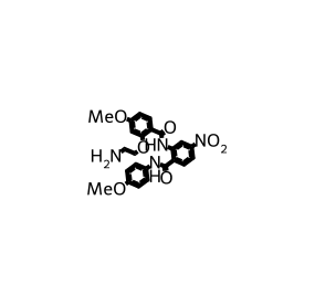 COc1ccc(NC(=O)c2ccc([N+](=O)[O-])cc2NC(=O)c2ccc(OC)cc2OCCN)cc1